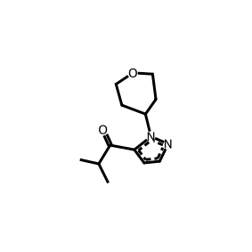 CC(C)C(=O)c1ccnn1C1CCOCC1